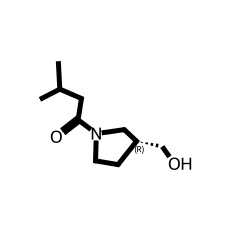 CC(C)CC(=O)N1CC[C@@H](CO)C1